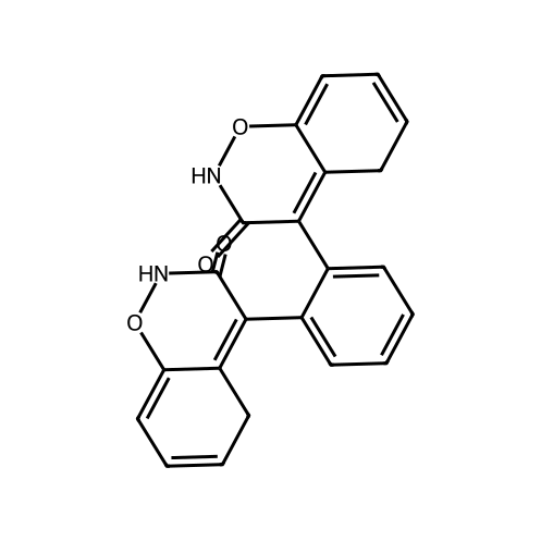 O=C1NOC2=CC=CCC2=C1c1ccccc1C1=C2CC=CC=C2ONC1=O